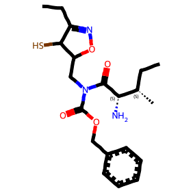 CCC1=NOC(CN(C(=O)OCc2ccccc2)C(=O)[C@@H](N)[C@@H](C)CC)C1S